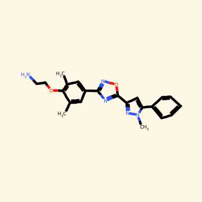 Cc1cc(-c2noc(-c3cc(-c4ccccc4)n(C)n3)n2)cc(C)c1OCCN